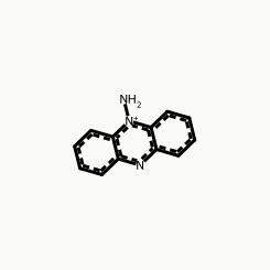 N[n+]1c2ccccc2nc2ccccc21